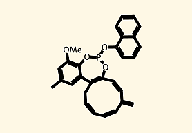 C=C1/C=C\C=C/Cc2c(op(Oc3cccc4ccccc34)oc3c(OC)cc(C)cc23)/C=C\1